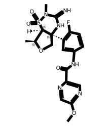 COc1cnc(C(=O)Nc2ccc(F)c([C@]34CO[C@@H](C)[C@H]3S(=O)(=O)N(C)C(=N)N4)c2)cn1